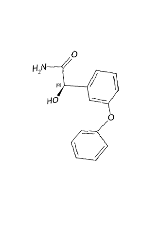 NC(=O)[C@H](O)c1cccc(Oc2ccccc2)c1